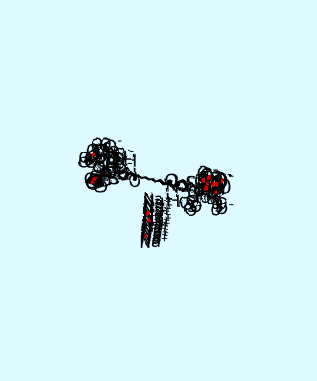 O=C(CCCCCCCCC(=O)Nc1ccc(S[C@@H]2O[C@H](COS(=O)(=O)[O-])[C@@H](O[C@H]3O[C@H](COS(=O)(=O)[O-])[C@@H](OS(=O)(=O)[O-])[C@H](OS(=O)(=O)[O-])[C@H]3OS(=O)(=O)[O-])[C@H](OS(=O)(=O)[O-])[C@H]2OS(=O)(=O)[O-])cc1)Nc1ccc(S[C@@H]2O[C@H](COS(=O)(=O)[O-])[C@@H](O[C@H]3O[C@H](COS(=O)(=O)[O-])[C@@H](OS(=O)(=O)[O-])[C@H](OS(=O)(=O)[O-])[C@H]3OS(=O)(=O)[O-])[C@H](OS(=O)(=O)[O-])[C@H]2OS(=O)(=O)[O-])cc1.[Na+].[Na+].[Na+].[Na+].[Na+].[Na+].[Na+].[Na+].[Na+].[Na+].[Na+].[Na+].[Na+].[Na+]